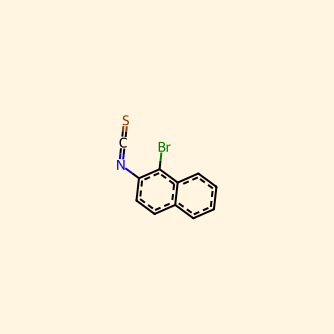 S=C=Nc1ccc2ccccc2c1Br